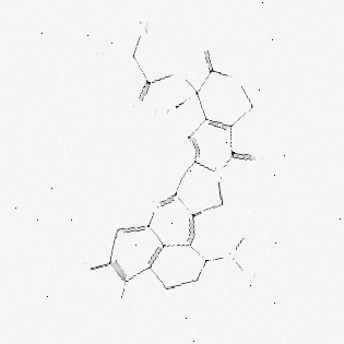 CCN(CC)C1CCc2c(C)c(F)cc3nc4c(c1c23)Cn1c-4cc2c(c1=O)COC(=O)[C@@]2(CC)OC(=O)[C@@H](N)C(C)C